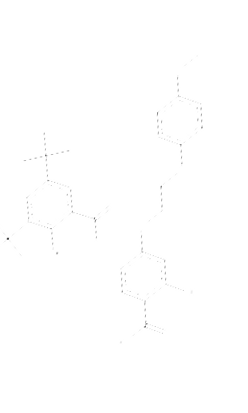 CC(C)(C)c1cc(C(=O)O)c(O)c(C(C)(C)C)c1.COc1ccc(OCCOc2ccc(C(=O)O)c(O)c2)cc1